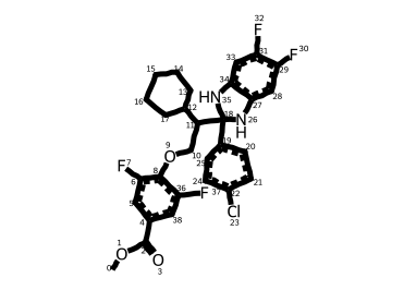 COC(=O)c1cc(F)c(OCC(C2CCCCC2)C2(c3ccc(Cl)cc3)Nc3cc(F)c(F)cc3N2)c(F)c1